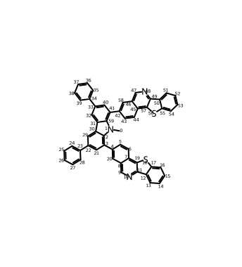 Cn1c2c(-c3ccc4c(cnc5c6ccccc6sc45)c3)cc(-c3ccccc3)cc2c2cc(-c3ccccc3)cc(-c3ccc4c(cnc5c6ccccc6sc45)c3)c21